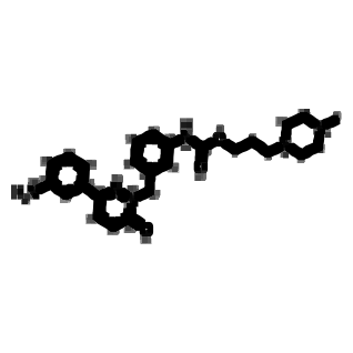 CN1CCN(CCCOC(=O)Nc2cccc(Cn3nc(-c4cccc(N)c4)ccc3=O)c2)CC1